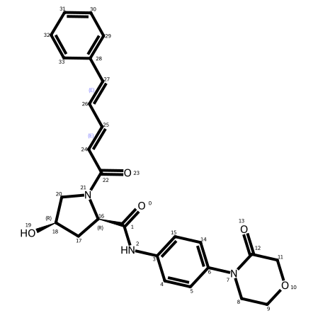 O=C(Nc1ccc(N2CCOCC2=O)cc1)[C@H]1C[C@@H](O)CN1C(=O)/C=C/C=C/c1ccccc1